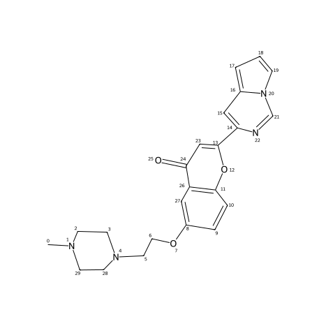 CN1CCN(CCOc2ccc3oc(-c4cc5cccn5cn4)cc(=O)c3c2)CC1